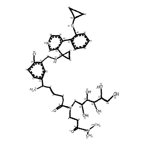 CC(CCCC(=O)N(CCC(=O)N(C)C)CC(O)C(O)C(O)C(O)CO)c1ccc(Cl)c(CNC2(c3cnccc3-c3ccccc3OC3CC3)CC2)c1